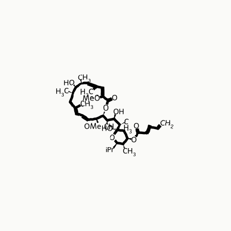 C=C/C=C/C(=O)O[C@@H]1C[C@](O)([C@@H](C)[C@H](O)[C@H](C)[C@H]2OC(=O)/C(OC)=C/C(C)=C/[C@@H](C)[C@@H](O)[C@@H](C)C/C(C)=C/C=C/[C@@H]2OC)O[C@H](C(C)C)[C@H]1C